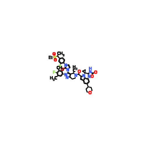 CCS(=O)(=O)C(C)c1ccc(-n2ccn(-c3c4c(nn3-c3cc(C)c(F)c(C)c3)CCN(C(=O)c3cc5cc(C6CCOCC6)ccc5n3C3(c5noc(=O)[nH]5)CC3)C4C)c2=O)c(F)c1